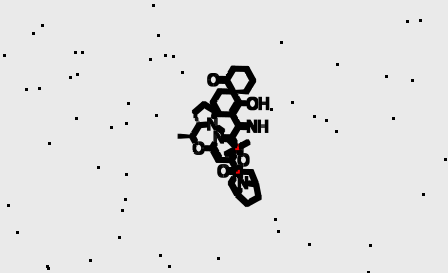 C[C@H](Oc1cc(N2CC3CCC(C2)N3C(=O)OC(C)(C)C)nc(C(=N)C2=C(O)[C@]3(CCCCC3=O)CCC2)n1)[C@@H]1CCCN1C